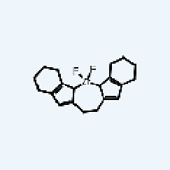 [F][Zr]1([F])[CH]2C(=CC3=C2CCCC3)CCC2=CC3=C(CCCC3)[CH]21